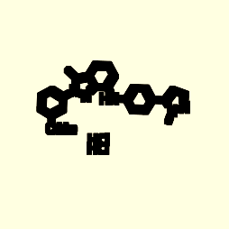 COc1cccc(-n2nc3c(Nc4ccc(-c5ccnn5C)cc4)cccc3c2C)c1.Cl.Cl